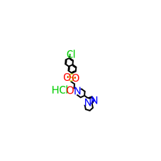 Cl.O=C(CCS(=O)(=O)c1ccc2cc(Cl)ccc2c1)N1CCC(c2cnc3n2CCCC3)CC1